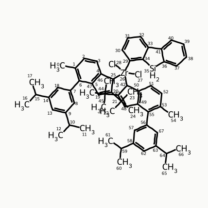 Cc1ccc2c(c1-c1cc(C(C)C)cc(C(C)C)c1)C=C(C(C)(C)C)[CH]2[Zr]([Cl])([Cl])([c]1cccc2c1[SiH2]c1ccccc1-2)[CH]1C(C(C)(C)C)=Cc2c1ccc(C)c2-c1cc(C(C)C)cc(C(C)C)c1